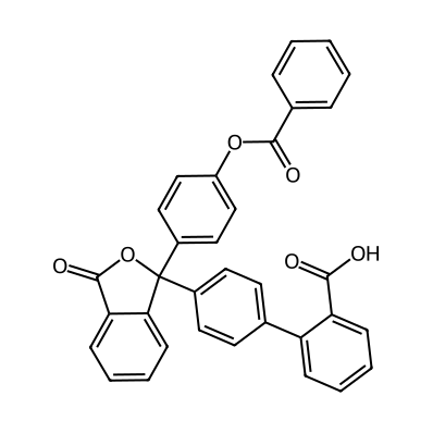 O=C(Oc1ccc(C2(c3ccc(-c4ccccc4C(=O)O)cc3)OC(=O)c3ccccc32)cc1)c1ccccc1